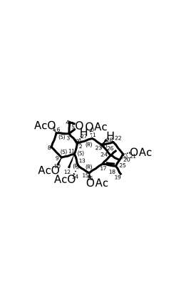 CC(=O)O[C@H]1[C@@H]2C3(CO3)[C@@H](OC(C)=O)C[C@H](OC(C)=O)[C@@]2(C)[C@@H](OC(C)=O)[C@H](OC(C)=O)C2=C(C)[C@@H](OC(C)=O)C[C@@H]1C2(C)C